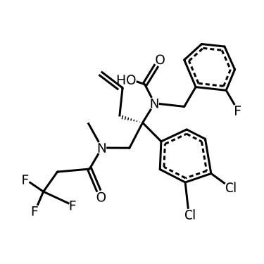 C=CC[C@@](CN(C)C(=O)CC(F)(F)F)(c1ccc(Cl)c(Cl)c1)N(Cc1ccccc1F)C(=O)O